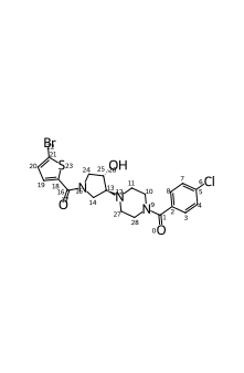 O=C(c1ccc(Cl)cc1)N1CCN([C@H]2CN(C(=O)c3ccc(Br)s3)C[C@@H]2O)CC1